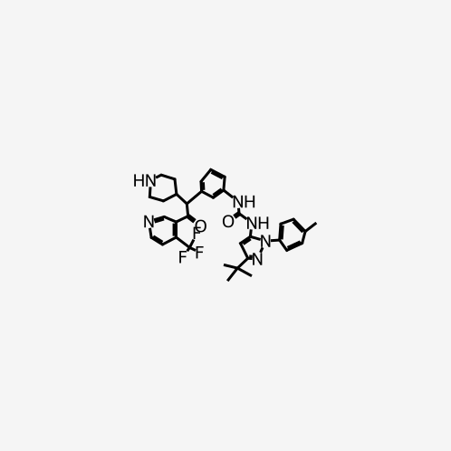 Cc1ccc(-n2nc(C(C)(C)C)cc2NC(=O)Nc2cccc(C(C(=O)c3cnccc3C(F)(F)F)C3CCNCC3)c2)cc1